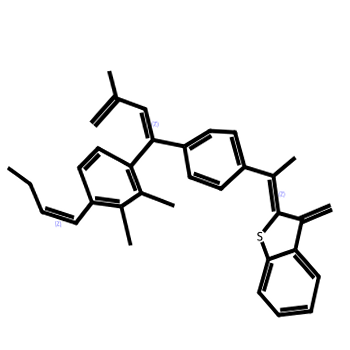 C=C(C)/C=C(/c1ccc(/C(C)=c2\sc3ccccc3c2=C)cc1)c1ccc(/C=C\CC)c(C)c1C